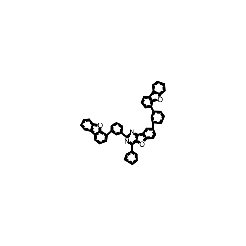 c1ccc(-c2nc(-c3cccc(-c4cccc5c4oc4ccccc45)c3)nc3c2oc2ccc(-c4cccc(-c5cccc6c5oc5ccccc56)c4)cc23)cc1